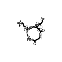 CC(=O)CC(=O)O[C@H]1C(=O)NCCC(=O)NCCSP(=O)(OCC[N+](C)(C)C)OCC1(C)C